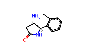 Cc1ccccc1[C@H]1NC(=O)C[C@@H]1N